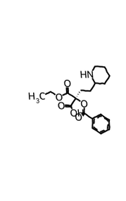 CCOC(=O)[C@@](CCC1CCCCN1)(OC(=O)c1ccccc1)C(=O)O